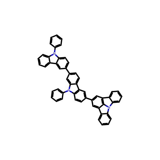 c1ccc(-n2c3ccccc3c3cc(-c4ccc5c6cc(-c7cc8c9ccccc9n9c%10ccccc%10c(c7)c89)ccc6n(-c6ccccc6)c5c4)ccc32)cc1